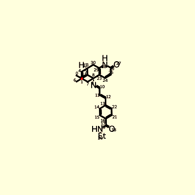 C/C=C1\[C@H]2C=C(C)C[C@]1(N=CC=Cc1ccc(C(=O)NCC)cc1)c1ccc(=O)[nH]c1C2